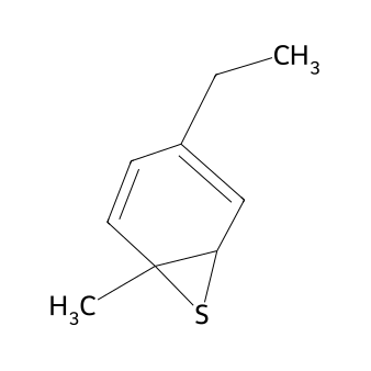 CCC1=CC2SC2(C)C=C1